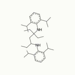 CCC(CC(CC)(CC)Nc1c(C(C)C)cccc1C(C)C)Nc1c(C(C)C)cccc1C(C)C